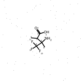 CC(C(=O)O)C(C)(N)C(F)(F)F